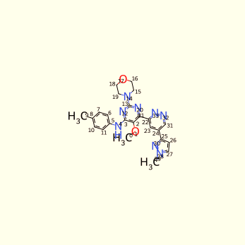 COc1c(Nc2ccc(C)cc2)nc(N2CCOCC2)nc1-c1cc(-c2ccn(C)n2)cnn1